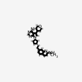 CNc1ccc2ccc(CC[C@@H]3CC[C@H](n4cc(C5CCOCC5)c5c(N)ncnc54)C3)cc2n1